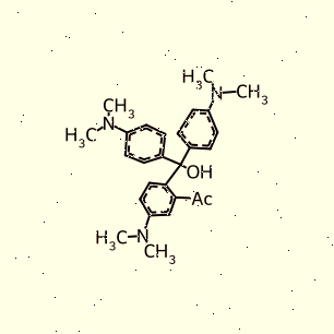 CC(=O)c1cc(N(C)C)ccc1C(O)(c1ccc(N(C)C)cc1)c1ccc(N(C)C)cc1